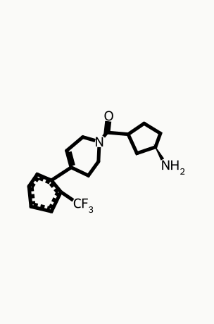 N[C@@H]1CCC(C(=O)N2CC=C(c3ccccc3C(F)(F)F)CC2)C1